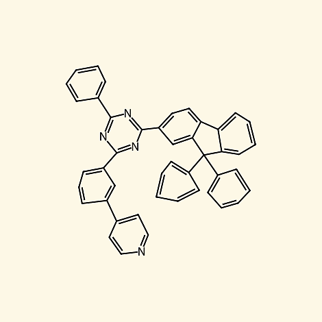 c1ccc(-c2nc(-c3cccc(-c4ccncc4)c3)nc(-c3ccc4c(c3)C(c3ccccc3)(c3ccccc3)c3ccccc3-4)n2)cc1